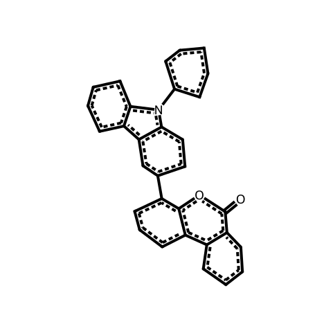 O=c1oc2c(-c3ccc4c(c3)c3ccccc3n4-c3ccccc3)cccc2c2ccccc12